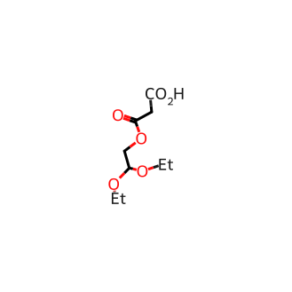 CCOC(COC(=O)CC(=O)O)OCC